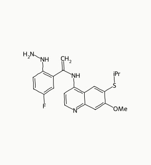 C=C(Nc1ccnc2cc(OC)c(SC(C)C)cc12)c1cc(F)ccc1NN